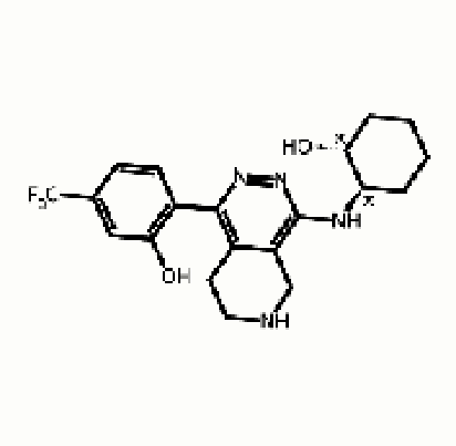 Oc1cc(C(F)(F)F)ccc1-c1nnc(N[C@@H]2CCCC[C@H]2O)c2c1CCNC2